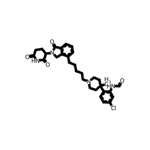 CC1(c2ccc(Cl)cc2NC=O)CCN(CCCCCc2cccc3c2CN(C2CCC(=O)NC2=O)C3=O)CC1